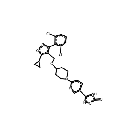 O=c1[nH]c(-c2ccc(N3CCC(OCc4c(-c5c(Cl)cccc5Cl)noc4C4CC4)CC3)nc2)no1